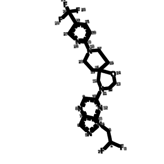 FC(F)Cn1ncc2ncc(N3CCOC4(CCN(c5ccc(C(F)(F)F)cn5)CC4)C3)nc21